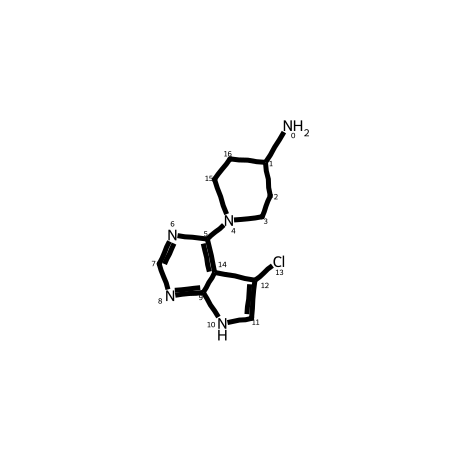 NC1CCN(c2ncnc3[nH]cc(Cl)c23)CC1